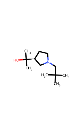 CC(C)(C)CN1CC[C@H](C(C)(C)O)C1